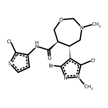 CN1COC[C@H](C(=O)Nc2ccsc2Cl)[C@@H](c2c(Br)nn(C)c2Cl)C1